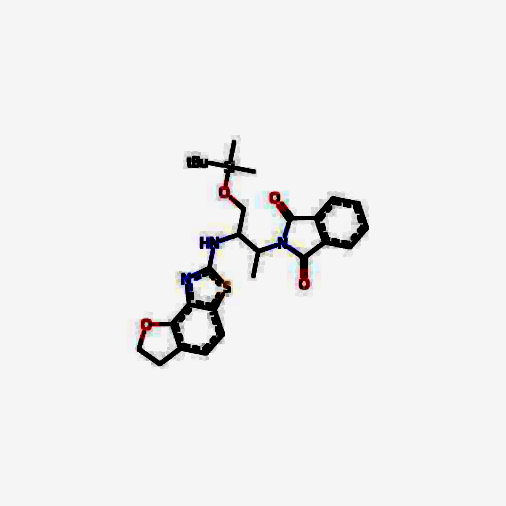 CC(C(CO[Si](C)(C)C(C)(C)C)Nc1nc2c3c(ccc2s1)CCO3)N1C(=O)c2ccccc2C1=O